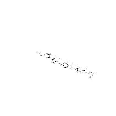 Cn1c(-c2cn([C@@H]3CC3(F)F)nc2C(F)(F)F)cnc1C(=O)Nc1ccc(C(=O)NC2[C@H]3CN(C(=O)N[C@@H]4CNC[C@H]4O)C[C@@H]23)c(Cl)c1